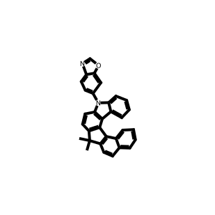 CC1(C)c2ccc3ccccc3c2-c2c1ccc1c2c2ccccc2n1-c1ccc2ncoc2c1